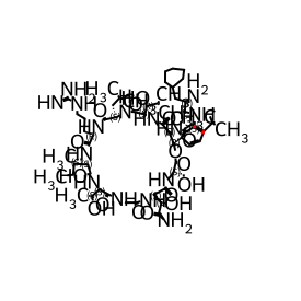 CC[C@H](C)[C@@H]1NC(=O)[C@@H](CCCNC(=N)N)NC(=O)[C@H](CC(C)C)NC(=O)[C@H]([C@H](O)C(C)C)NC(=O)[C@@H](NC(=O)[C@H](CC(C)C)NC(=O)[C@H](N)CC2CCCCC2)[C@@H](c2ccccc2)OC(=O)[C@H](CO)NC(=O)[C@H]([C@H](O)C(N)=O)NC(=O)CNC(=O)[C@H]([C@H](C)O)NC1O